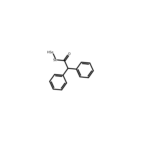 O=C([Se][SeH])C(c1ccccc1)c1ccccc1